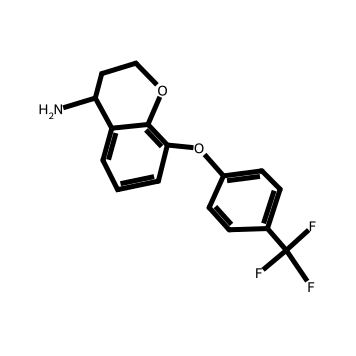 NC1CCOc2c(Oc3ccc(C(F)(F)F)cc3)cccc21